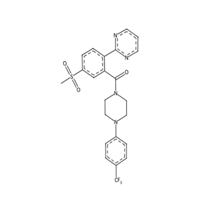 CS(=O)(=O)c1ccc(-c2ncccn2)c(C(=O)N2CCN(c3ccc(C(F)(F)F)cc3)CC2)c1